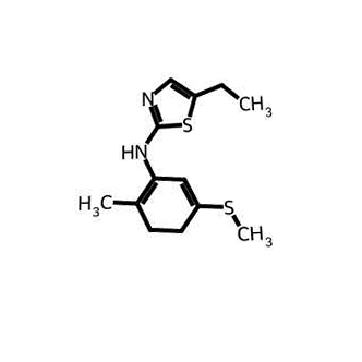 CCc1cnc(NC2=C(C)CCC(SC)=C2)s1